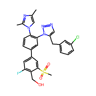 Cc1cn(-c2ccc(-c3cc(F)c(CO)c(S(C)(=O)=O)c3)cc2-n2nncc2Cc2cccc(Cl)c2)c(C)n1